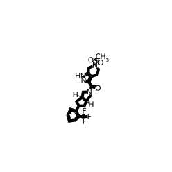 CS(=O)(=O)N1CCc2c(C(=O)N3C[C@H]4CC(c5ccccc5C(F)(F)F)C[C@H]4C3)n[nH]c2C1